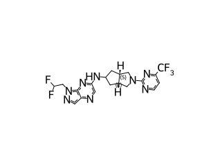 FC(F)Cn1ncc2ncc(NC3C[C@@H]4CN(c5nccc(C(F)(F)F)n5)C[C@@H]4C3)nc21